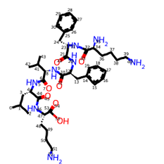 CC(C)C[C@H](NC(=O)[C@@H](NC(=O)[C@H](Cc1ccccc1)NC(=O)[C@H](Cc1ccccc1)NC(=O)[C@@H](N)CCCCN)C(C)C)C(=O)N[C@@H](CCCCN)C(=O)O